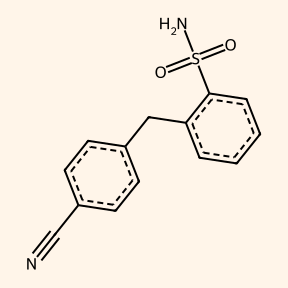 N#Cc1ccc(Cc2ccccc2S(N)(=O)=O)cc1